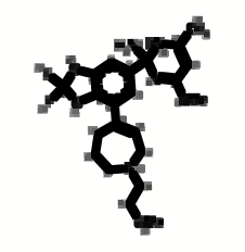 CNC1=NC(N)(c2cc3c(c(C4=CCN(CCOC)CCC4)c2)OC(F)(F)O3)NC(C)=C1